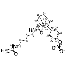 CC(=O)NCCCCCNC(=O)C12CC3CC(C1)CC(c1ccc(O[N+](=O)[O-])cc1)(C3)C2